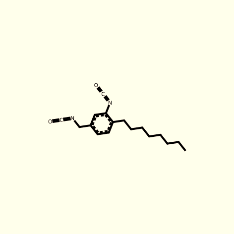 CCCCCCCCc1ccc(CN=C=O)cc1N=C=O